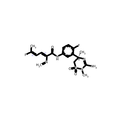 C=N/C(=C\C=C(/C)F)C(=O)Nc1ccc(F)c([C@]2(C)CS(=O)(=O)N(C)C(N)=N2)c1